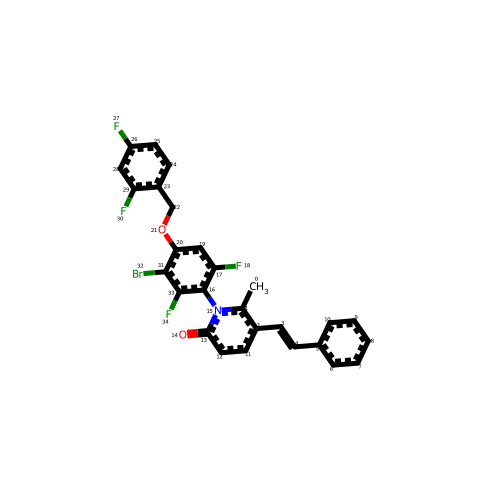 Cc1c(C=Cc2ccccc2)ccc(=O)n1-c1c(F)cc(OCc2ccc(F)cc2F)c(Br)c1F